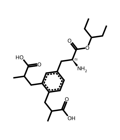 CCC(CC)OC(=O)[C@@H](N)Cc1ccc(CC(C)C(=O)O)c(CC(C)C(=O)O)c1